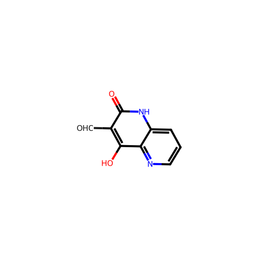 O=Cc1c(O)c2ncccc2[nH]c1=O